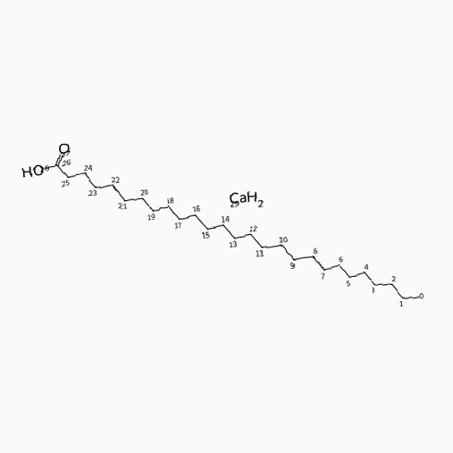 CCCCCCCCCCCCCCCCCCCCCCCCCCC(=O)O.[CaH2]